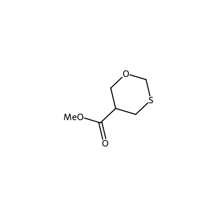 COC(=O)C1COCSC1